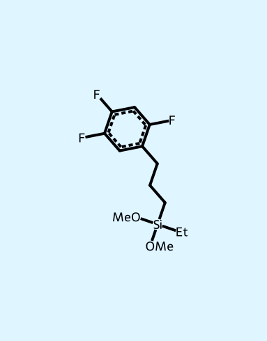 CC[Si](CCCc1cc(F)c(F)cc1F)(OC)OC